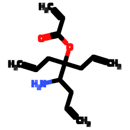 C=CCC(N)C(CC=C)(CC=C)OC(=O)C=C